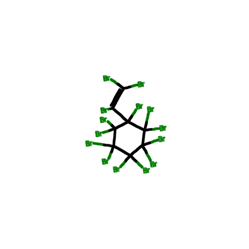 BrC(Br)=C(Br)C1(Br)C(Br)(Br)C(Br)(Br)C(Br)(Br)C(Br)(Br)C1(Br)Br